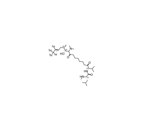 [2H]/C(=C\C[C@@H](C)[C@@H](O)C(C(=O)CCCCCCC(=O)[C@@H](NC(=O)[C@H](CC(C)C)NC)C(C)C)N(C)C)C([2H])([2H])[2H]